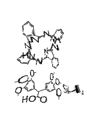 COc1cc(C(C(=O)O)c2cc(OC)c(OC)c(OC)c2)cc(OC)c1OC.[SiH4].c1ccc2c(c1)-c1nc-2nc2[nH]c(nc3nc(nc4[nH]c(n1)c1ccccc41)-c1ccccc1-3)c1ccccc21